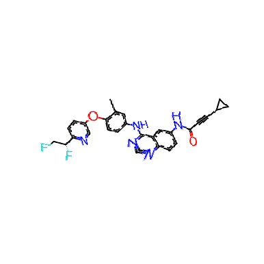 Cc1cc(Nc2ncnc3ccc(NC(=O)C#CC4CC4)cc23)ccc1Oc1ccc([C@H](F)CF)nc1